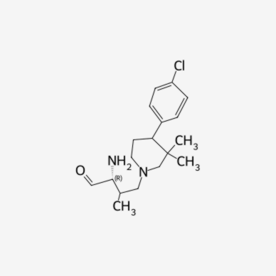 CC(CN1CCC(c2ccc(Cl)cc2)C(C)(C)C1)[C@@H](N)C=O